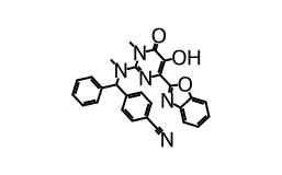 CN(c1nc(-c2nc3ccccc3o2)c(O)c(=O)n1C)C(c1ccccc1)c1ccc(C#N)cc1